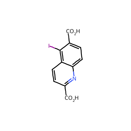 O=C(O)c1ccc2c(I)c(C(=O)O)ccc2n1